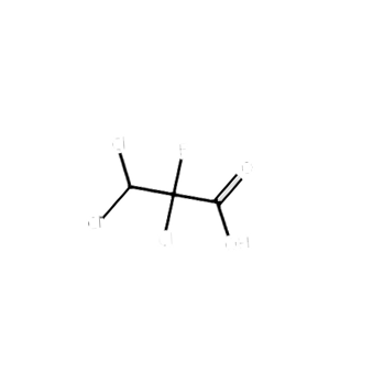 O=C(O)C(F)(Cl)C(Cl)Cl